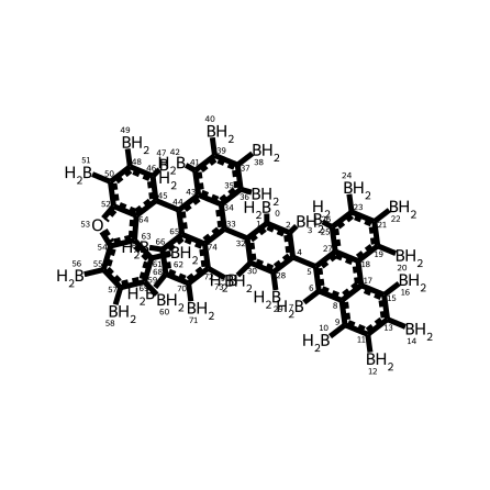 Bc1c(B)c(-c2c(B)c3c(B)c(B)c(B)c(B)c3c3c(B)c(B)c(B)c(B)c23)c(B)c(B)c1-c1c2c(B)c(B)c(B)c(B)c2c(-c2c(B)c(B)c(B)c3oc4c(B)c(B)c(B)c(B)c4c23)c2c(B)c(B)c(B)c(B)c12